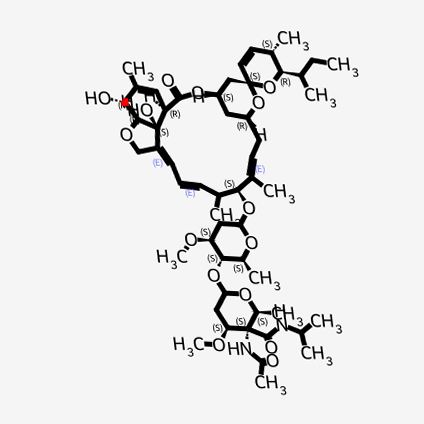 CCC(C)[C@H]1O[C@]2(C=C[C@@H]1C)C[C@@H]1C[C@@H](C/C=C(\C)[C@@H](OC3C[C@H](OC)[C@@H](OC4C[C@H](OC)[C@](NC(C)=O)(C(=O)NC(C)C)[C@H](C)O4)[C@H](C)O3)C(C)/C=C/C=C3\CO[C@@H]4[C@H](O)C(C)=C[C@@H](C(=O)O1)[C@]34O)O2